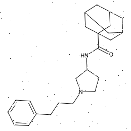 O=C(NC1CCN(CCCc2ccccc2)C1)C12CC3CC(CC(C3)C1)C2